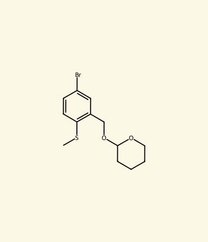 CSc1ccc(Br)cc1COC1CCCCO1